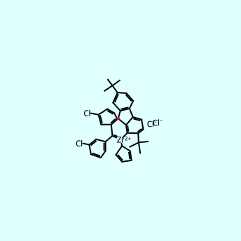 CC(C)(C)c1ccc2c(c1)Cc1c-2ccc(C(C)(C)C)[c]1[Zr+2](=[C](c1cccc(Cl)c1)c1cccc(Cl)c1)[CH]1C=CC=C1.[Cl-].[Cl-]